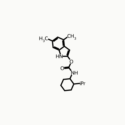 Cc1cc(C)c2cc(OC(=O)NC3CCCCC3C(C)C)[nH]c2c1